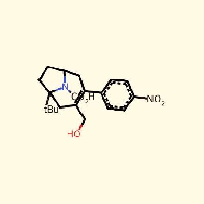 CC(C)(C)C12CCC(CC(c3ccc([N+](=O)[O-])cc3)=C(CO)C1)N2C(=O)O